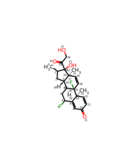 CC1C[C@H]2[C@@H]3CC(F)C4=CC(=O)C=C[C@]4(C)[C@@]3(F)C=C[C@]2(C)[C@@]1(O)C(=O)CO